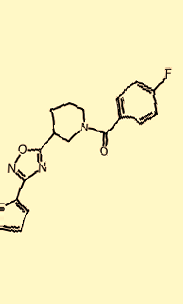 O=C(c1ccc(F)cc1)N1CCCC(c2nc(-c3cccs3)no2)C1